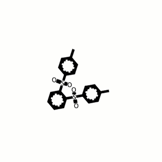 Cc1ccc(S(=O)(=O)c2ccccc2S(=O)(=O)c2ccc(C)cc2)cc1